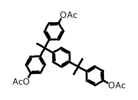 CC(=O)Oc1ccc(C(C)(C)c2ccc(C(C)(c3ccc(OC(C)=O)cc3)c3ccc(OC(C)=O)cc3)cc2)cc1